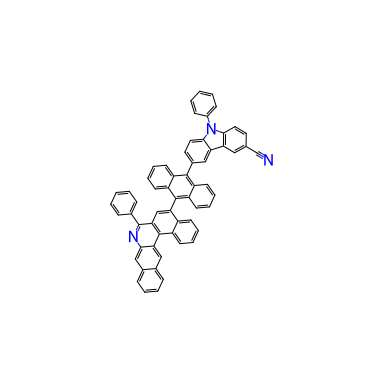 N#Cc1ccc2c(c1)c1cc(-c3c4ccccc4c(-c4cc5c(-c6ccccc6)nc6cc7ccccc7cc6c5c5ccccc45)c4ccccc34)ccc1n2-c1ccccc1